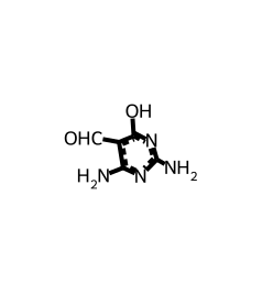 Nc1nc(N)c(C=O)c(O)n1